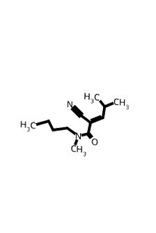 CCCCN(C)C(=O)/C(C#N)=C/C(C)C